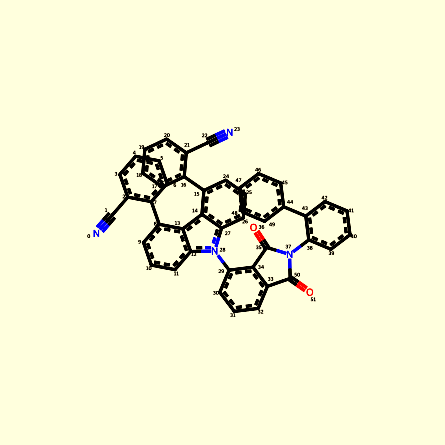 N#Cc1ccccc1-c1cccc2c1c1c(-c3ccccc3C#N)cccc1n2-c1cccc2c1C(=O)N(c1ccccc1-c1ccccc1)C2=O